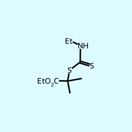 CCNC(=S)SC(C)(C)C(=O)OCC